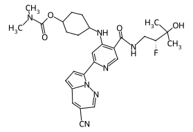 CN(C)C(=O)OC1CCC(Nc2cc(-c3ccc4cc(C#N)cnn34)ncc2C(=O)NC[C@@H](F)C(C)(C)O)CC1